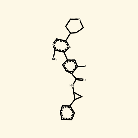 Nc1ncc(C2CCOCC2)nc1-c1ccc(C(=O)NC2CC2c2ccccc2)c(F)c1